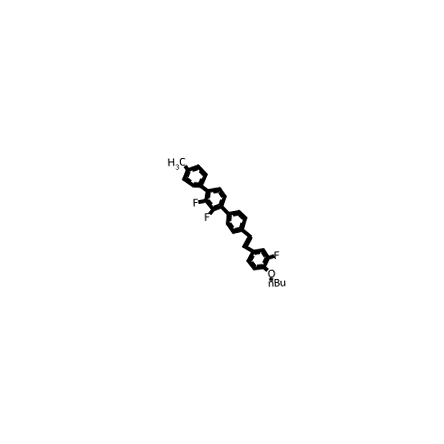 CCCCOc1ccc(/C=C/c2ccc(-c3ccc(-c4ccc(C)cc4)c(F)c3F)cc2)cc1F